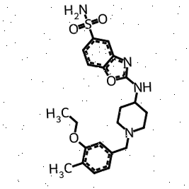 CCOc1cc(CN2CCC(Nc3nc4cc(S(N)(=O)=O)ccc4o3)CC2)ccc1C